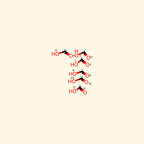 O=CO.O=CO.O=CO.O=CO.O=CO.O=CO